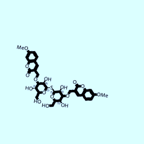 COc1ccc2cc(COC3[C@@H](O)C(CO)O[C@@H](S[C@@H]4OC(CO)[C@H](O)C(OCc5cc6ccc(OC)cc6oc5=O)[C@@H]4O)[C@@H]3O)c(=O)oc2c1